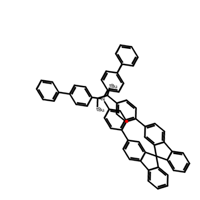 CC(C)(C)CC(c1ccc(-c2ccc3c(c2)C2(c4ccccc4-3)c3ccccc3-c3ccc(-c4ccc(N(c5ccc(-c6ccccc6)cc5)c5ccc(-c6ccccc6)cc5)cc4)cc32)cc1)C(C)(C)C